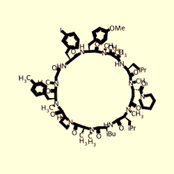 CC[C@H](C)[C@@H]1NC(=O)[C@H](CC(C)C)N(C)C(=O)C[C@@H](C(=O)N2CCCCC2)N(C)C(=O)[C@H](CC(C)C)NC(=O)C(C)(C)N(C)C(=O)[C@H](Cc2ccc(OC)cc2)NC(=O)[C@H](Cc2cccc(I)c2)NC(=O)CN(C)C(=O)[C@H](Cc2ccc(C)cc2)N(C)C(=O)[C@@H]2CCN2C(=O)[C@H](C)N(C)C1=O